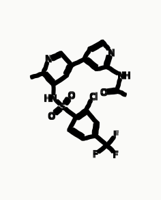 CC(=O)Nc1cc(-c2cnc(C)c(NS(=O)(=O)c3ccc(C(F)(F)F)cc3Cl)c2)ccn1